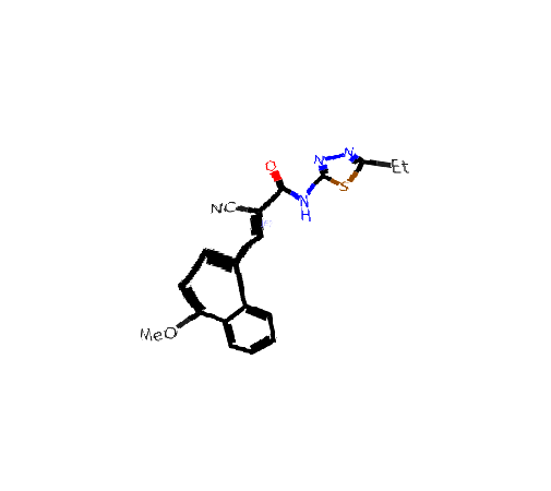 CCc1nnc(NC(=O)/C(C#N)=C/c2ccc(OC)c3ccccc23)s1